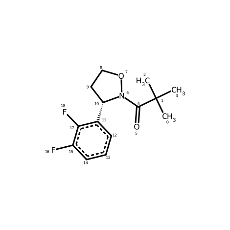 CC(C)(C)C(=O)N1OCC[C@H]1c1cccc(F)c1F